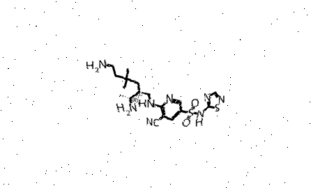 C[C@@H](N)[C@H](CNc1ncc(S(=O)(=O)Nc2ncns2)cc1C#N)CC(C)(C)CCN